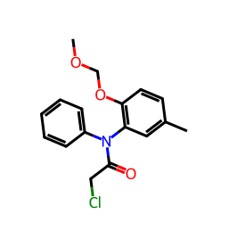 COCOc1ccc(C)cc1N(C(=O)CCl)c1ccccc1